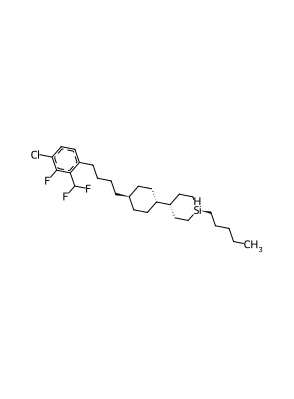 CCCCC[Si@H]1CC[C@H]([C@H]2CC[C@H](CCCCc3ccc(Cl)c(F)c3C(F)F)CC2)CC1